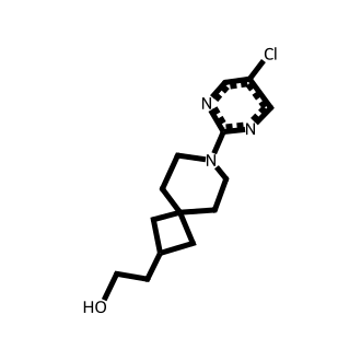 OCCC1CC2(CCN(c3ncc(Cl)cn3)CC2)C1